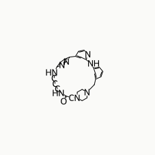 O=C1CN2CCN(CC2)Cc2cccc(c2)Nc2cc(ccn2)-c2ccc(nn2)NCCCN1